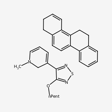 C1=Cc2c(ccc3c2CCc2ccccc2-3)CC1.CCCCCOc1nsnc1C1=CC=CN(C)C1